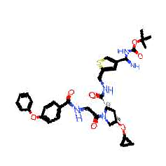 CC(C)(C)OC(=O)NC(=N)c1csc(CNC(=O)[C@@H]2C[C@@H](OC3CC3)CN2C(=O)CNC(=O)c2ccc(Oc3ccccc3)cc2)c1